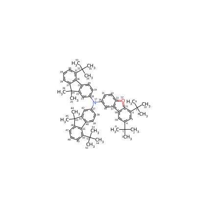 CC(C)(C)c1cc(C(C)(C)C)c2oc3ccc(N(c4ccc5c(c4)C(C)(C)c4cccc(C(C)(C)C)c4-5)c4ccc5c(c4)C(C)(C)c4cccc(C(C)(C)C)c4-5)cc3c2c1